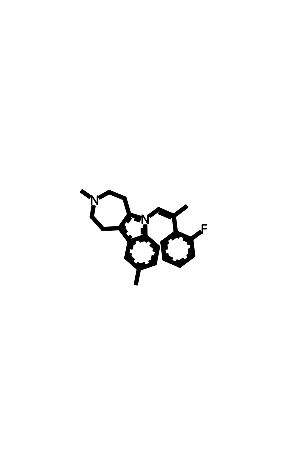 C/C(=C/n1c2c(c3cc(C)ccc31)CCN(C)CC2)c1ccccc1F